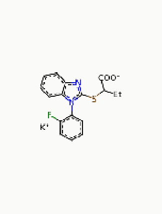 CCC(Sc1nc2ccccc2n1-c1ccccc1F)C(=O)[O-].[K+]